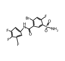 NS(=O)(=O)c1cc(C(=O)Nc2cc(F)c(F)c(F)c2)c(Br)cc1F